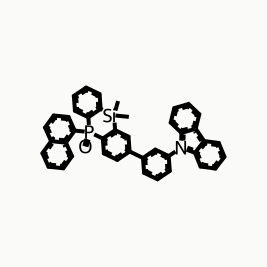 C[Si]1(C)c2ccccc2P(=O)(c2cccc3ccccc23)c2ccc(-c3cccc(-n4c5ccccc5c5ccccc54)c3)cc21